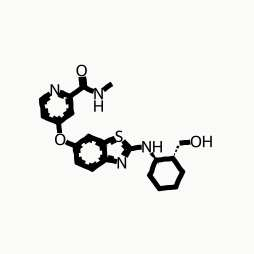 CNC(=O)c1cc(Oc2ccc3nc(N[C@@H]4CCCC[C@H]4CO)sc3c2)ccn1